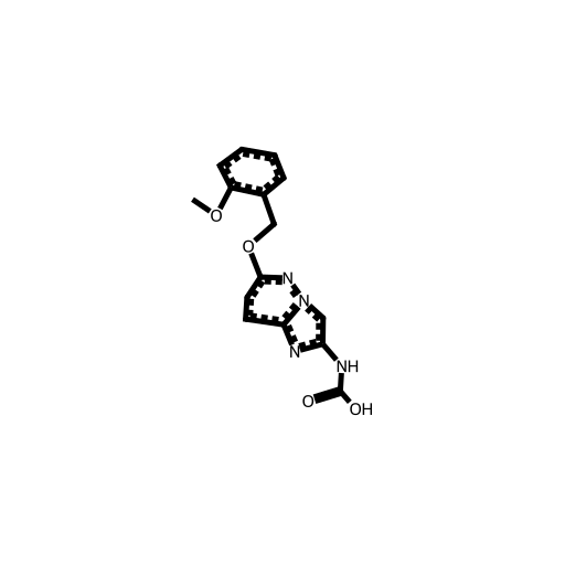 COc1ccccc1COc1ccc2nc(NC(=O)O)cn2n1